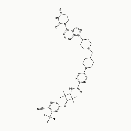 CC1(C)[C@H](NC(=O)c2ncc(N3CCC(CN4CCC(n5ncc6c(N7CCC(=O)NC7=O)cccc65)CC4)CC3)cn2)C(C)(C)[C@H]1Oc1cnc(C#N)c(C(F)(F)F)c1